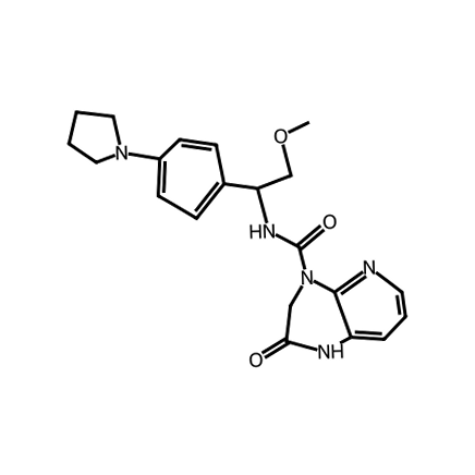 COCC(NC(=O)N1CC(=O)Nc2cccnc21)c1ccc(N2CCCC2)cc1